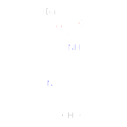 CC(C)(C)OC(=O)NCc1ccc(C=O)cn1